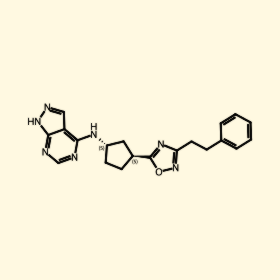 c1ccc(CCc2noc([C@H]3CC[C@H](Nc4ncnc5[nH]ncc45)C3)n2)cc1